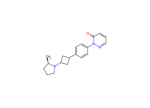 C[C@@H]1CCCN1C1CC(c2ccc(-n3ncccc3=O)cc2)C1